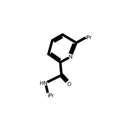 CC(C)NC(=O)c1cccc(C(C)C)n1